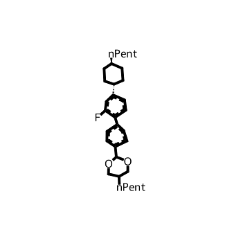 CCCCCC1COC(c2ccc(-c3ccc([C@H]4CC[C@H](CCCCC)CC4)cc3F)cc2)OC1